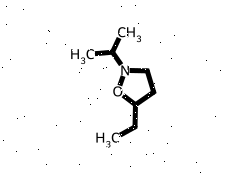 CCC1CCN(C(C)C)O1